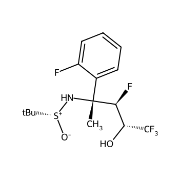 CC(C)(C)[S@@+]([O-])N[C@](C)(c1ccccc1F)[C@@H](F)[C@@H](O)C(F)(F)F